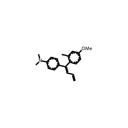 C=CC=C(c1ccc(N(C)C)cc1)c1ccc(OC)cc1C